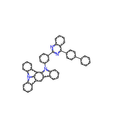 c1ccc(-c2ccc(-c3nc(-c4cccc(-n5c6ccccc6c6cc7c8ccccc8n8c9ccccc9c(c65)c78)c4)nc4ccccc34)cc2)cc1